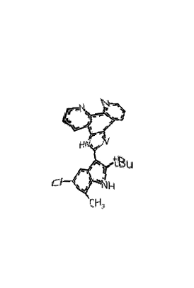 Cc1cc(Cl)cc2c(-c3nc4c5cccnc5c5ncccc5c4[nH]3)c(C(C)(C)C)[nH]c12